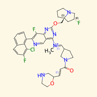 C/[N+](=C\C1CCN(C(=O)/C=C/C2CNCCO2)C1)c1nc(OC[C@@]23CCCN2C[C@H](F)C3)nc2c(F)c(-c3cccc4ccc(F)c(Cl)c34)ncc12